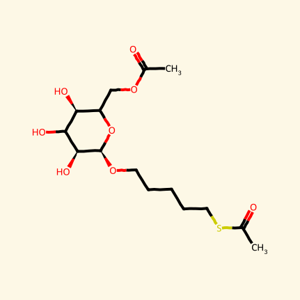 CC(=O)OCC1O[C@@H](OCCCCCSC(C)=O)[C@@H](O)C(O)[C@H]1O